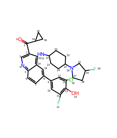 O=C(c1cnc2ccc(-c3cc(F)c(O)c(Cl)c3)cc2c1NC1CCC(N2CCC(F)C2)CC1)C1CC1